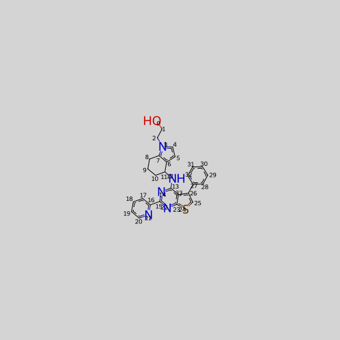 OCCn1ccc2c1CCCC2Nc1nc(-c2ccccn2)nc2scc(-c3ccccc3)c12